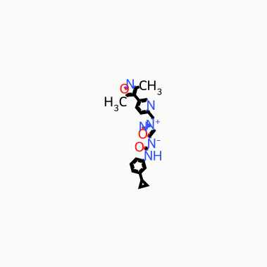 Cc1noc(C)c1-c1ccc(C[n+]2cc([N-]C(=O)Nc3cccc(C4CC4)c3)on2)nc1